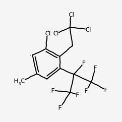 Cc1[c]c(Cl)c(CC(Cl)(Cl)Cl)c(C(F)(C(F)(F)F)C(F)(F)F)c1